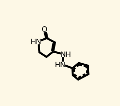 O=C1C=C(NNc2ccccc2)CCN1